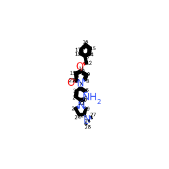 C=C(/C=C\C(=C/N)n1ccc(OCc2ccccc2)cc1=O)N1CCC(N(C)C)C1